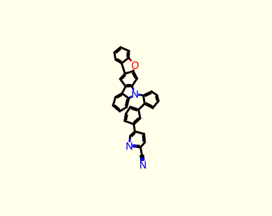 N#Cc1ccc(-c2cccc(-c3ccccc3-n3c4ccccc4c4cc5c(cc43)oc3ccccc35)c2)cn1